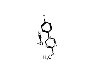 CSC1=NCN(c2ccc(F)cc2)C=N1.N#CO